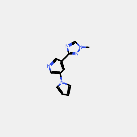 Cn1cnc(-c2cncc(-n3cccc3)c2)n1